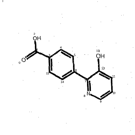 O=C(O)c1ccc(-c2ncccc2O)cc1